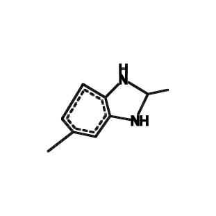 Cc1ccc2c(c1)NC(C)N2